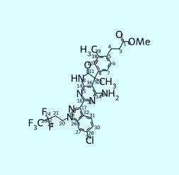 COC(=O)CCc1ccc(C2(C)C(=O)Nc3nc(-c4nn(CCC(F)(F)C(F)(F)F)c5cc(Cl)ccc45)nc(N)c32)cc1C